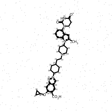 Cc1cc2c(N3CCC(=O)NC3=O)cccc2n1C1CCN(CCC2CCC(n3cc4cc(C(=O)O)c(OC5CC5)cc4n3)CC2)CC1